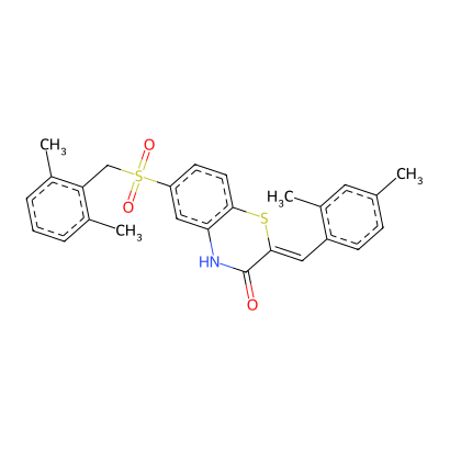 Cc1ccc(/C=C2\Sc3ccc(S(=O)(=O)Cc4c(C)cccc4C)cc3NC2=O)c(C)c1